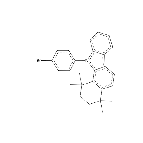 CC1(C)CCC(C)(C)c2c1ccc1c3ccccc3n(-c3ccc(Br)cc3)c21